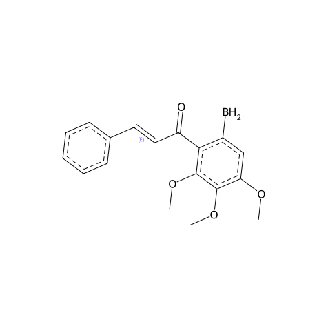 Bc1cc(OC)c(OC)c(OC)c1C(=O)/C=C/c1ccccc1